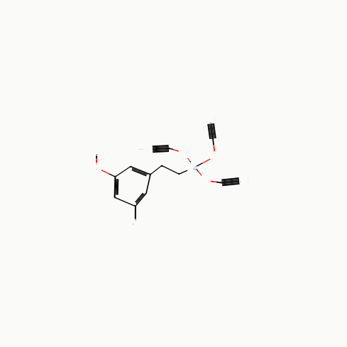 C#CO[Si](CCc1cc(C)cc(OC)c1)(OC#C)OC#C